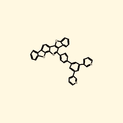 c1cncc(-c2cc(-c3ccc(-c4nc5c(ccc6c7ccccc7oc65)c5oc6ccccc6c45)cc3)cc(-c3cccnc3)c2)c1